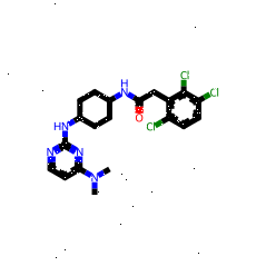 CN(C)c1ccnc(NC2CCC(NC(=O)Cc3c(Cl)ccc(Cl)c3Cl)CC2)n1